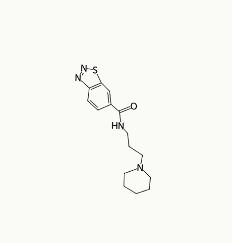 O=C(NCCCN1CCCCC1)c1ccc2nnsc2c1